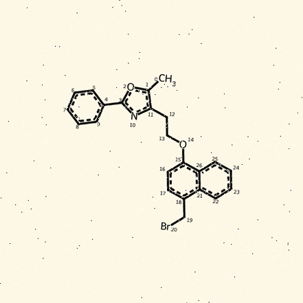 Cc1oc(-c2ccccc2)nc1CCOc1ccc(CBr)c2ccccc12